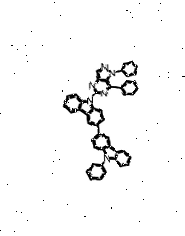 c1ccc(-c2nc(-n3c4ccccc4c4cc(-c5ccc6c(c5)c5ccccc5n6-c5ccccc5)ccc43)nc3cnn(-c4ccccc4)c23)cc1